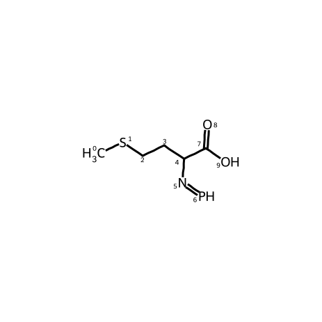 CSCCC(N=P)C(=O)O